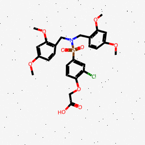 COc1ccc(CN(Cc2ccc(OC)cc2OC)S(=O)(=O)c2ccc(OCC(=O)O)c(Cl)c2)c(OC)c1